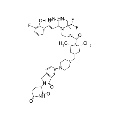 C[C@@H]1CC(CN2CCN(c3ccc4c(c3)C(=O)N([C@H]3CCC(=O)NC3=O)C4)CC2)C[C@H](C)N1C(=O)N1CCN2c3cc(-c4cccc(F)c4O)nnc3NC[C@]2(C(F)F)C1